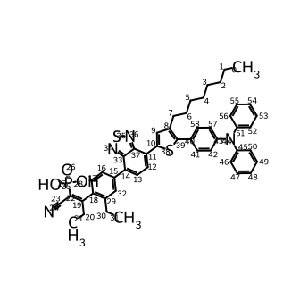 CCCCCCCCc1cc(-c2ccc(-c3ccc(C(CC)=C(C#N)P(=O)(O)O)c(CC)c3)c3nsnc23)sc1-c1ccc(N(c2ccccc2)c2ccccc2)cc1